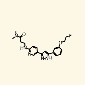 CN(C)C(=O)CCNc1ccc(-c2cc(-c3cccc(OCCF)c3)[nH]n2)cn1